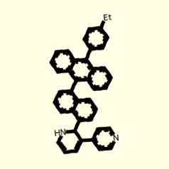 CCc1ccc(-c2c3ccccc3c(-c3cccc4c(C5NC=CC=C5c5ccncc5)cccc34)c3ccccc23)cc1